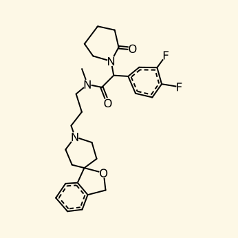 CN(CCCN1CCC2(CC1)OCc1ccccc12)C(=O)C(c1ccc(F)c(F)c1)N1CCCCC1=O